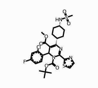 COC(=O)C1=C([C@H]2CC[C@@H](NS(C)(=O)=O)CC2)N=C(c2nccs2)N(C(=O)OC(C)(C)C)C1c1ccc(F)cc1Cl